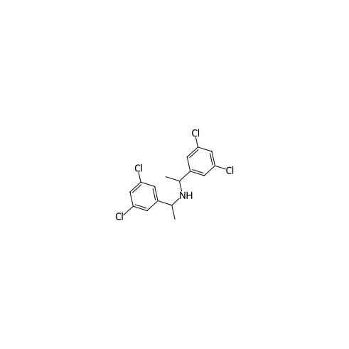 CC(NC(C)c1cc(Cl)cc(Cl)c1)c1cc(Cl)cc(Cl)c1